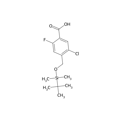 CC(C)(C)[Si](C)(C)OCc1cc(F)c(C(=O)O)cc1Cl